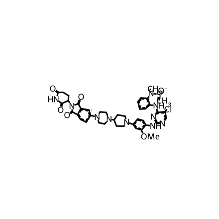 COc1cc(N2CCC(N3CCN(c4[c]c5c(cc4)C(=O)N(C4CCC(=O)NC4=O)C5=O)CC3)CC2)ccc1Nc1ncc(Cl)c(Nc2ccccc2N(C)[S+](C)[O-])n1